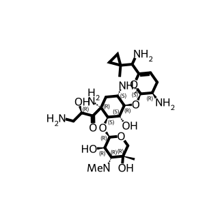 CN[C@@H]1[C@@H](O)[C@@H](O[C@@H]2[C@@H](O)[C@H](O[C@H]3OC(C(N)C4(C)CC4)=CC[C@H]3N)[C@@H](N)C[C@]2(N)C(=O)[C@H](O)CN)OC[C@]1(C)O